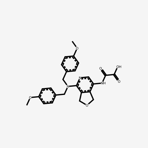 COc1ccc(CN(Cc2ccc(OC)cc2)c2ncc(NC(=O)C(=O)O)c3c2COC3)cc1